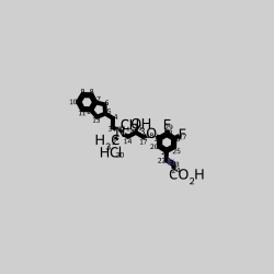 C[N+](C)(CCC1Cc2ccccc2C1)C[C@@H](O)COc1cc(/C=C/C(=O)O)cc(F)c1F.Cl